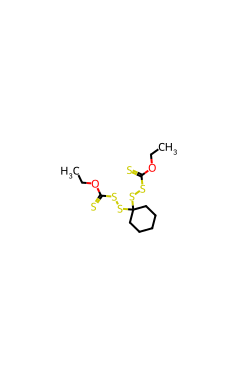 CCOC(=S)SSC1(SSC(=S)OCC)CCCCC1